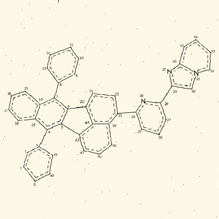 c1ccc(-c2c3c(c(-c4ccccc4)c4ccccc24)-c2ccc(-c4cccc(-c5cn6ccccc6n5)n4)c4cccc-3c24)cc1